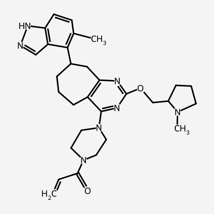 C=CC(=O)N1CCN(c2nc(OCC3CCCN3C)nc3c2CCCC(c2c(C)ccc4[nH]ncc24)C3)CC1